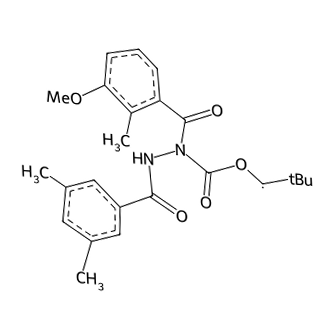 COc1cccc(C(=O)N(NC(=O)c2cc(C)cc(C)c2)C(=O)O[CH]C(C)(C)C)c1C